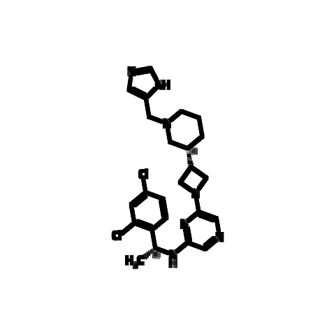 C[C@@H](Nc1cncc(N2CC([C@H]3CCCN(Cc4cnc[nH]4)C3)C2)n1)c1ccc(Cl)cc1Cl